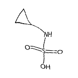 O=S(=O)(O)NC1CC1